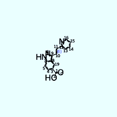 O=C(O)c1ccc2[nH]nc(/C=C/c3ccccn3)c2c1